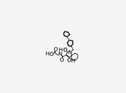 O=C(O)CNC(=O)C1=C(O)C2(CCCCC2)N(Cc2ccc(-c3ccccc3)cc2)C1=O